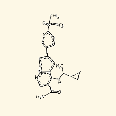 C[C@@H](Nc1c(C(N)=O)cnn2cc(-c3ccc(S(C)(=O)=O)nc3)cc12)C1CC1